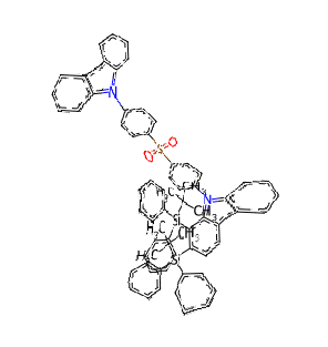 CC(C)(C)[Si](c1ccccc1)(c1ccccc1)c1ccc2c3ccccc3n(-c3ccc(S(=O)(=O)c4ccc(-n5c6ccccc6c6ccccc65)cc4)cc3)c2c1[Si](c1ccccc1)(c1ccccc1)C(C)(C)C